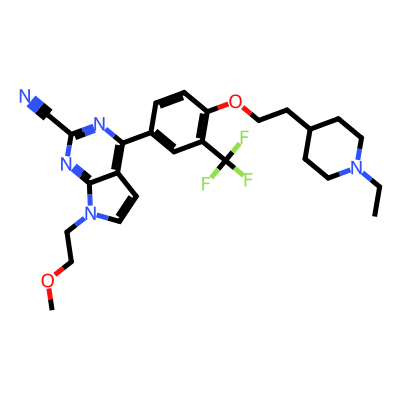 CCN1CCC(CCOc2ccc(-c3nc(C#N)nc4c3ccn4CCOC)cc2C(F)(F)F)CC1